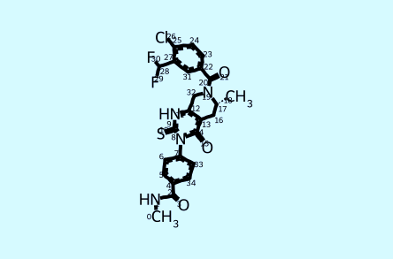 CNC(=O)c1ccc(-n2c(=S)[nH]c3c(c2=O)C[C@@H](C)N(C(=O)c2ccc(Cl)c(C(F)F)c2)C3)cc1